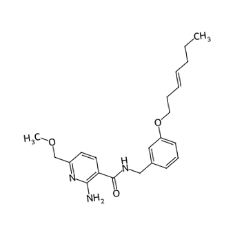 CCCC=CCCOc1cccc(CNC(=O)c2ccc(COC)nc2N)c1